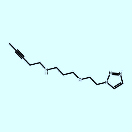 CC#CCCNCCCOCCn1ccnn1